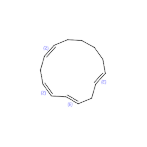 C1=C\C/C=C\CCCC/C=C/C/C=C/1